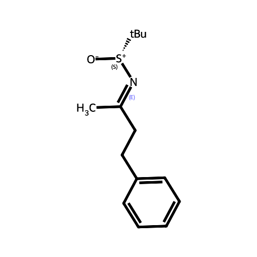 C/C(CCc1ccccc1)=N\[S@+]([O-])C(C)(C)C